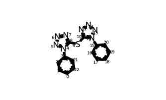 c1ccc(-n2nnnc2Sc2nnnn2-c2ccccc2)cc1